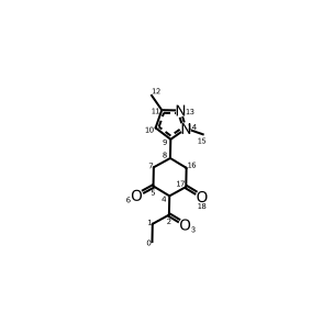 CCC(=O)C1C(=O)CC(c2cc(C)nn2C)CC1=O